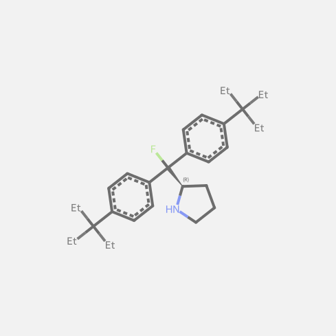 CCC(CC)(CC)c1ccc(C(F)(c2ccc(C(CC)(CC)CC)cc2)[C@H]2CCCN2)cc1